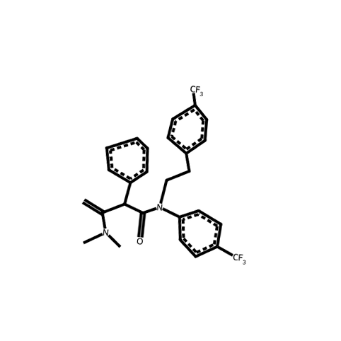 C=C(C(C(=O)N(CCc1ccc(C(F)(F)F)cc1)c1ccc(C(F)(F)F)cc1)c1ccccc1)N(C)C